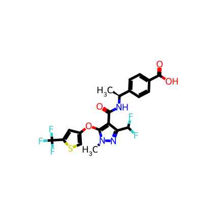 C[C@H](NC(=O)c1c(C(F)F)nn(C)c1Oc1csc(C(F)(F)F)c1)c1ccc(C(=O)O)cc1